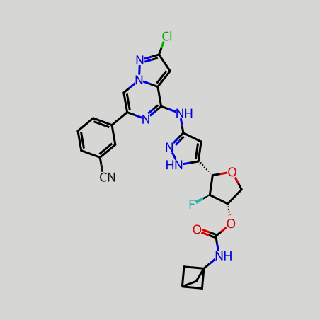 N#Cc1cccc(-c2cn3nc(Cl)cc3c(Nc3cc([C@@H]4OC[C@H](OC(=O)NC56CC(C5)C6)[C@H]4F)[nH]n3)n2)c1